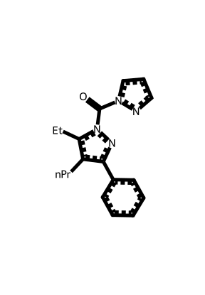 CCCc1c(-c2ccccc2)nn(C(=O)n2cccn2)c1CC